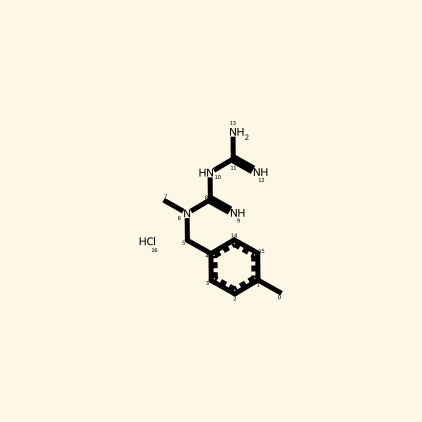 Cc1ccc(CN(C)C(=N)NC(=N)N)cc1.Cl